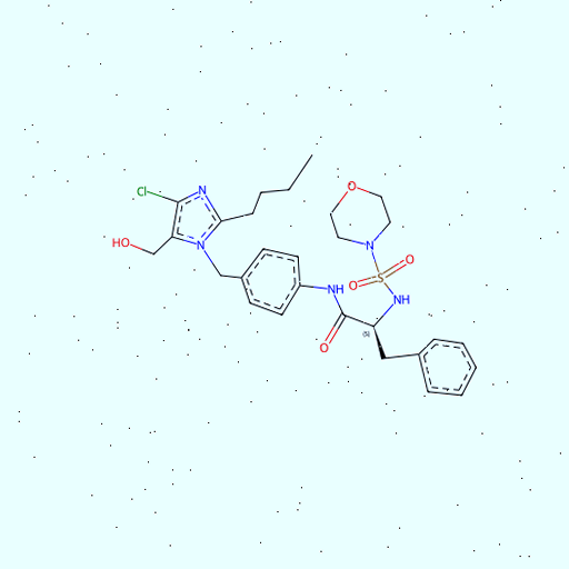 CCCCc1nc(Cl)c(CO)n1Cc1ccc(NC(=O)[C@H](Cc2ccccc2)NS(=O)(=O)N2CCOCC2)cc1